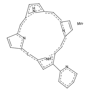 C1=Cc2cc3cc(-c4ccccn4)c(cc4nc(cc5ccc(cc1n2)[nH]5)C=C4)[nH]3.[Mn]